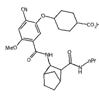 CCCNC(=O)C1C2CCC(C2)C1NC(=O)c1cc(OC2CCC(C(=O)O)CC2)c(C#N)cc1OC